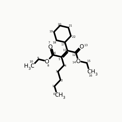 CCCCCC(C(=O)OCC)=C(C(=O)OCC)C1CCCCC1